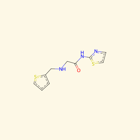 O=C(CNCc1cccs1)Nc1nccs1